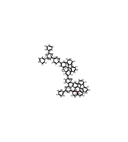 c1ccc(-c2nc(-c3ccccc3)nc(-c3ccc(-c4ccc5c(c4)Oc4cc(-c6ccc(-c7nc(-c8ccccc8)nc(-c8ccccc8)n7)c(-c7ccc8c(c7)Oc7ccccc7C87c8ccccc8-c8ccccc87)n6)ccc4C54c5ccccc5-c5ccccc54)nc3)n2)cc1